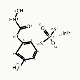 CNC(=O)Oc1cccc(C)c1.O=P([O-])([S-])[S-].[In+3]